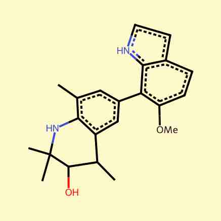 COc1ccc2cc[nH]c2c1-c1cc(C)c2c(c1)C(C)C(O)C(C)(C)N2